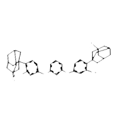 NC12CC3CC(C1)CC(c1ccc(Oc4cccc(Oc5ccc(C67CC8CC(CC(N)(C8)C6)C7)c(O)c5)c4)cc1O)(C3)C2